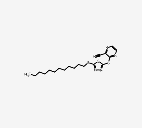 CCCCCCCCCCCCSc1nnc(Sc2nccnc2C#N)s1